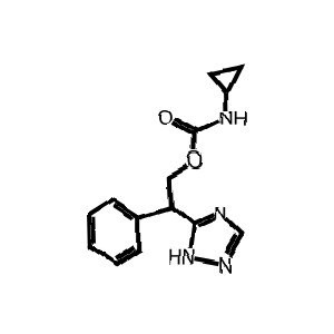 O=C(NC1CC1)OCC(c1ccccc1)c1ncn[nH]1